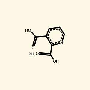 O=C(O)c1cccnc1C(=O)O.P